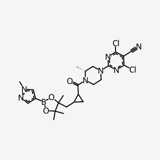 C[C@@H]1CN(c2nc(Cl)c(C#N)c(Cl)n2)CCN1C(=O)C1CC1CC1(C)OB(c2cnn(C)c2)OC1(C)C